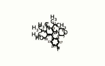 CC(C)C1=C(N2CCOCC2)C(c2ccc(F)cc2)=C(CO)C(C(C)C)N1C